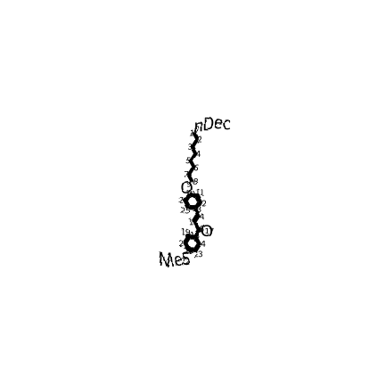 CCCCCCCCCCCCCCCCCCOc1ccc(C=CC(=O)c2ccc(SC)cc2)cc1